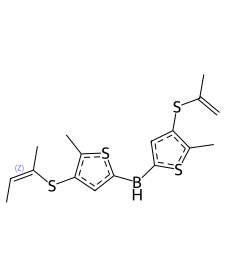 C=C(C)Sc1cc(Bc2cc(S/C(C)=C\C)c(C)s2)sc1C